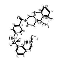 C=C/C=C\c1cccc(S(=O)(=O)Nc2ccc(C(=O)N3CCN(C(C)c4c(F)cccc4F)CC3)cc2)c1N